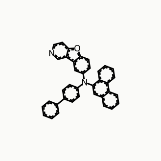 c1ccc(-c2ccc(N(c3ccc4oc5ccncc5c4c3)c3cc4ccccc4c4ccccc34)cc2)cc1